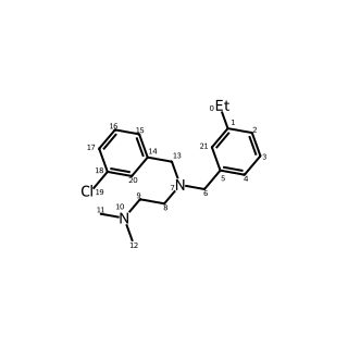 CCc1cccc(CN(CCN(C)C)Cc2cccc(Cl)c2)c1